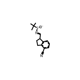 CC(C)(C)[S@+]([O-])N=CC1CCc2c(C#N)cccc21